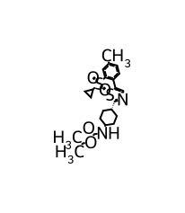 Cc1ccc(-c2cnc([C@H]3CC[C@H](NC(=O)OC(C)C)CC3)s2)c(S(=O)(=O)C2CC2)c1